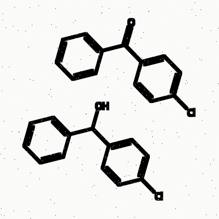 O=C(c1ccccc1)c1ccc(Cl)cc1.OC(c1ccccc1)c1ccc(Cl)cc1